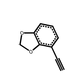 C#Cc1cccc2c1O[CH]O2